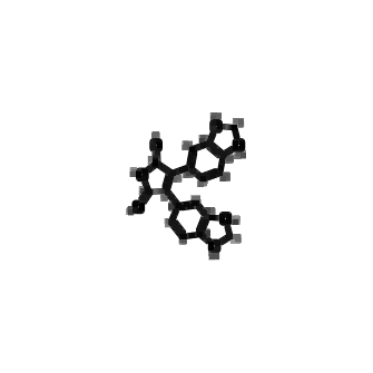 O=C1OC(=O)C(c2ccc3c(c2)OCO3)=C1c1ccc2c(c1)OCO2